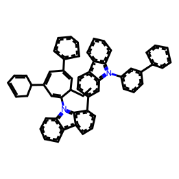 CCC1C=C(c2ccccc2)C=C(C2C=CC=CC2)C=C1n1c2ccccc2c2cccc(-c3ccc4c5ccccc5n(-c5cccc(-c6ccccc6)c5)c4c3)c21